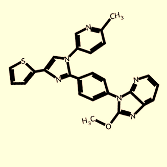 COc1nc2cccnc2n1-c1ccc(-c2nc(-c3cccs3)cn2-c2ccc(C)nc2)cc1